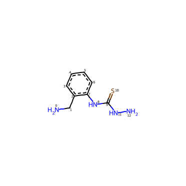 NCc1ccccc1NC(=S)NN